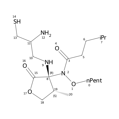 CCCCCON(C(=O)CCC(C)C)[C@@]1(NCC(N)CS)C(=O)OC[C@H]1C